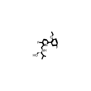 CCOc1ccc(F)cc1-c1ccc(F)c(CN[C@@H](CO)C(C)C)n1